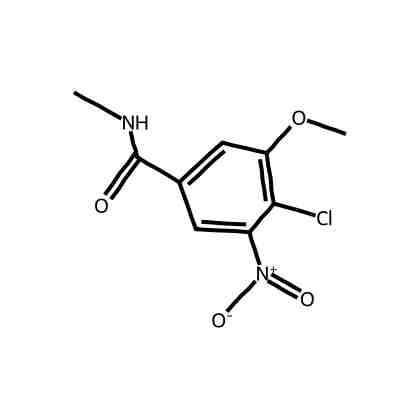 CNC(=O)c1cc(OC)c(Cl)c([N+](=O)[O-])c1